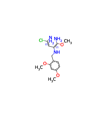 CO/C(N)=C(/C=C(\N)Cl)NCc1ccc(OC)cc1OC